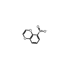 O=[N+]([O-])c1cccc2c1OC=[C]O2